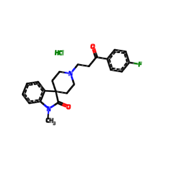 CN1C(=O)C2(CCN(CCC(=O)c3ccc(F)cc3)CC2)c2ccccc21.Cl